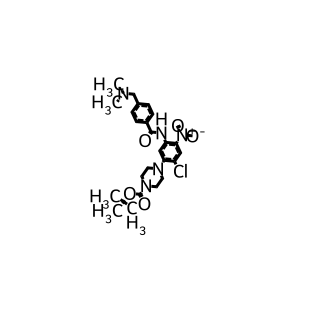 CN(C)Cc1ccc(C(=O)Nc2cc(N3CCN(C(=O)OC(C)(C)C)CC3)c(Cl)cc2[N+](=O)[O-])cc1